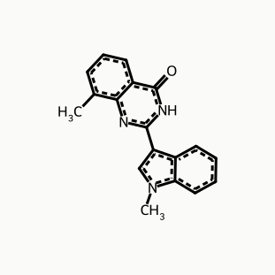 Cc1cccc2c(=O)[nH]c(-c3cn(C)c4ccccc34)nc12